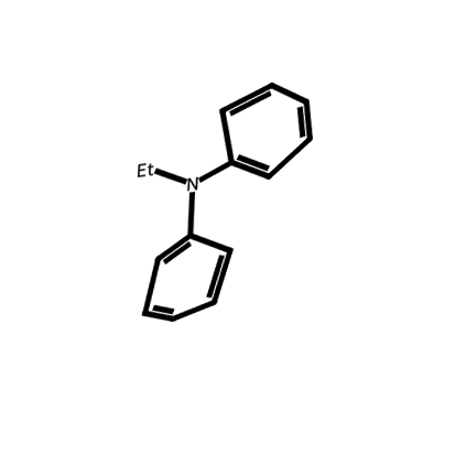 [CH2]CN(c1ccccc1)c1ccccc1